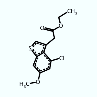 CCOC(=O)Cc1csc2cc(OC)cc(Cl)c12